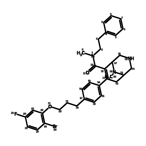 CN(CCc1ccccc1)C(=O)C1=C(c2ccc(CCCOc3cc(F)ccc3Br)cc2)CC2CNCC1N2C